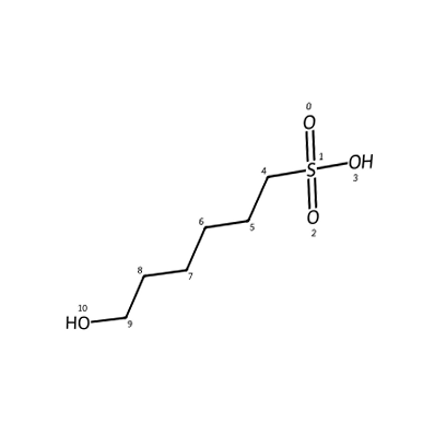 O=S(=O)(O)CCCCCCO